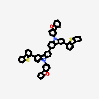 c1ccc2c(c1)oc1ccc(-n3c4ccc(-c5ccc6c(c5)c5cc(-c7cccc8c7sc7ccccc78)ccc5n6-c5ccc6oc7ccccc7c6c5)cc4c4cc(-c5cccc6c5sc5ccccc56)ccc43)cc12